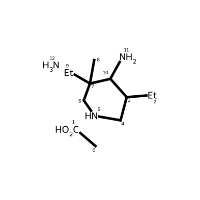 CC(=O)O.CCC1CNCC(C)(CC)C1N.N